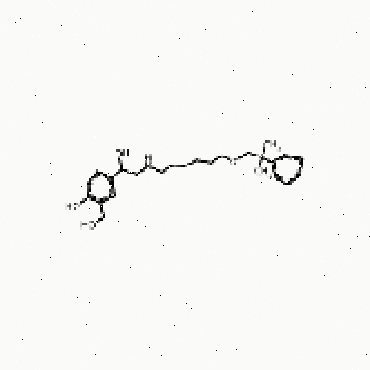 CC(C)(COCCCCCCNCC(O)c1ccc(O)c(CO)c1)c1ccccc1